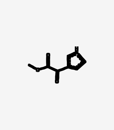 COC(=O)C(=O)c1cc[nH]c1